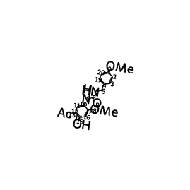 COc1ccc(CNC(=O)Nc2cc(C(C)=O)c(O)cc2OC)cc1